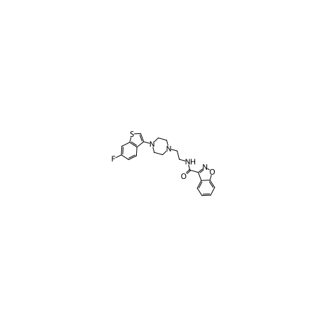 O=C(NCCN1CCN(c2csc3cc(F)ccc23)CC1)c1noc2ccccc12